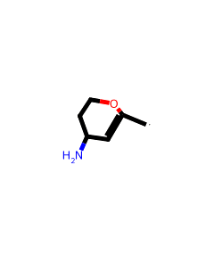 [CH2]C1=CC(N)CCO1